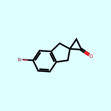 O=C1CC12Cc1ccc(Br)cc1C2